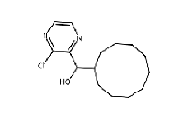 OC(c1nccnc1Cl)C1CCCCCCCCC1